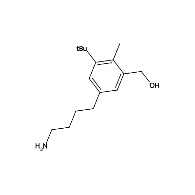 Cc1c(CO)cc(CCCCN)cc1C(C)(C)C